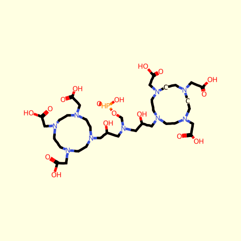 O=C(O)CN1CCN(CC(=O)O)CCN(CC(O)CN(CO[PH](=O)O)CC(O)CN2CCN(CC(=O)O)CCN(CC(=O)O)CCN(CC(=O)O)CC2)CCN(CC(=O)O)CC1